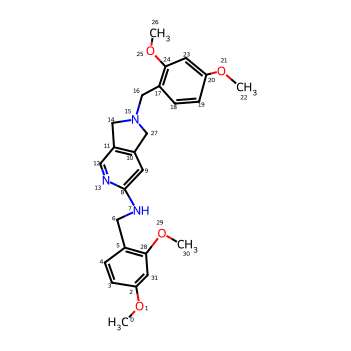 COc1ccc(CNc2cc3c(cn2)CN(Cc2ccc(OC)cc2OC)C3)c(OC)c1